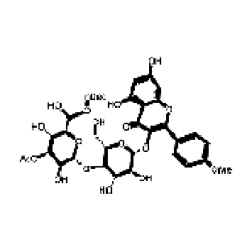 CCCCCCCCCCOC(O)[C@H]1O[C@H](O[C@@H]2[C@@H](O)[C@H](O)[C@@H](Oc3c(-c4ccc(OC)cc4)oc4cc(O)cc(O)c4c3=O)O[C@H]2CO)[C@@H](O)[C@@H](OC(C)=O)[C@@H]1O